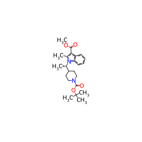 COC(=O)c1c(C)n([C@H](C)C2CCN(C(=O)OC(C)(C)C)CC2)c2ccccc12